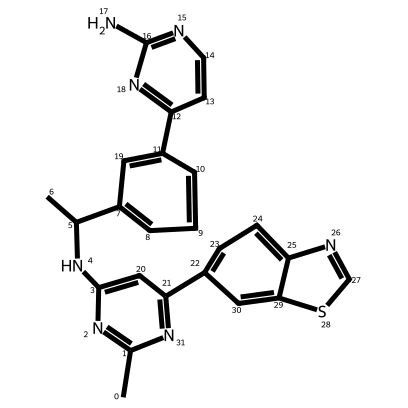 Cc1nc(NC(C)c2cccc(-c3ccnc(N)n3)c2)cc(-c2ccc3ncsc3c2)n1